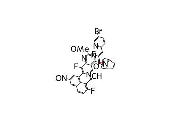 C#Cc1c(F)ccc2cc(N=O)cc(-c3ncc4c(N5CC6CCC(C5)N6C(=O)/C(F)=C/c5ccc(Br)cn5)nc(OC)nc4c3F)c12